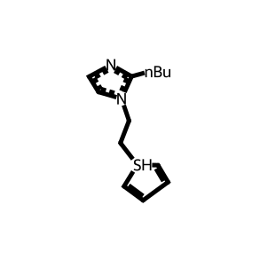 CCCCc1nccn1CC[SH]1C=CC=C1